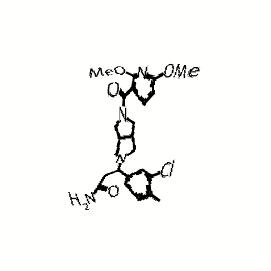 COc1ccc(C(=O)N2CC3CN(C(CC(N)=O)c4ccc(C)c(Cl)c4)CC3C2)c(OC)n1